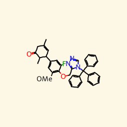 COc1cc(C2C=C(C)CC(=O)C2C)cc(F)c1OCc1nncn1C(c1ccccc1)(c1ccccc1)c1ccccc1